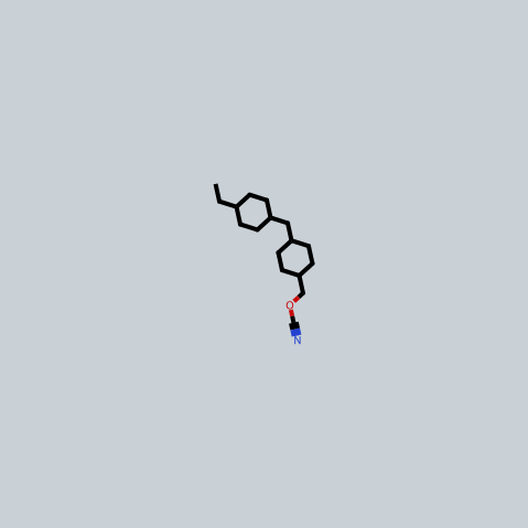 CCC1CCC(CC2CCC(COC#N)CC2)CC1